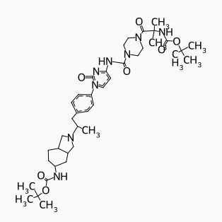 CC(Cc1ccc(-n2ccc(NC(=O)N3CCN(C(=O)C(C)(C)NC(=O)OC(C)(C)C)CC3)nc2=O)cc1)N1CC2CCC(NC(=O)OC(C)(C)C)CC2C1